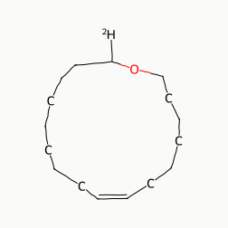 [2H]C1CCCCCCCC=CCCCCCCO1